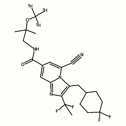 [2H]C([2H])([2H])OC(C)(C)CNC(=O)c1cc(C#N)n2c(CC3CCC(F)(F)CC3)c(C(C)(F)F)nc2c1